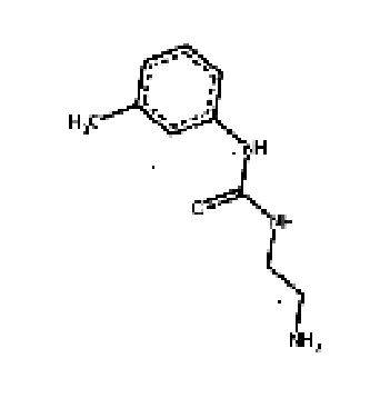 Cc1cccc(NC(=O)NCCN)c1